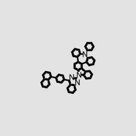 c1ccc(N2c3ccccc3-c3ccc4c(c3-c3ccccc32)c2ccccc2n4-c2nc(-c3ccc(-c4cccc5ccccc45)cc3)c3ccccc3n2)cc1